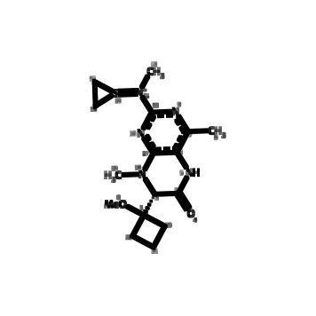 COC1([C@H]2C(=O)Nc3c(C)nc([N+](C)=S4CC4)nc3N2C)CCC1